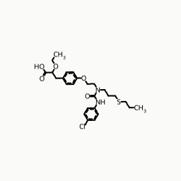 CCCSCCCN(CCOc1ccc(CC(OCC)C(=O)O)cc1)C(=O)Nc1ccc(Cl)cc1